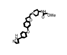 COCC(=O)NC1CCN(CC2Cc3ccc(Oc4ccc(-c5ccn[nH]5)cc4)cc3O2)CC1